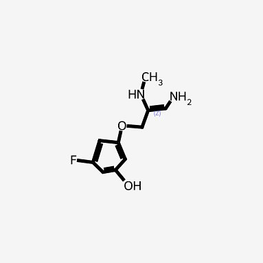 CN/C(=C\N)COc1cc(O)cc(F)c1